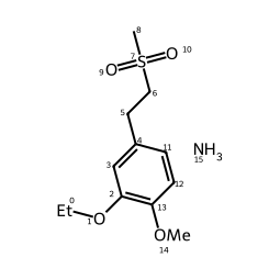 CCOc1cc(CCS(C)(=O)=O)ccc1OC.N